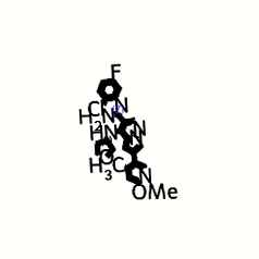 COc1cc(C)c(-c2cc3c(N[C@H]4CCOC4)c(/C(N)=N/c4cc(F)ccc4Cl)cnn3c2)cn1